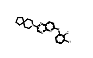 Clc1cccc(Sc2ccc3nc(N4CCC5(CCCC5)CC4)cnc3n2)c1Cl